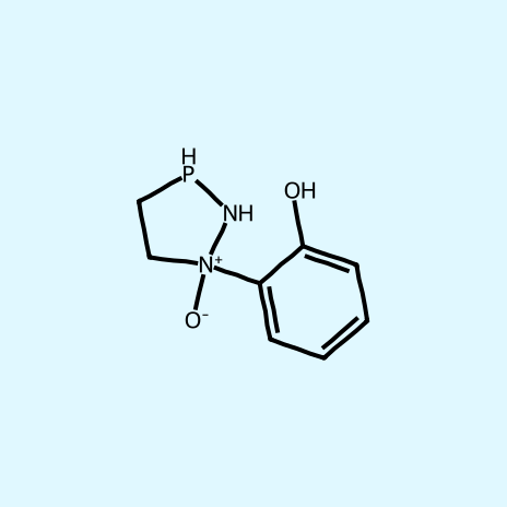 [O-][N+]1(c2ccccc2O)CCPN1